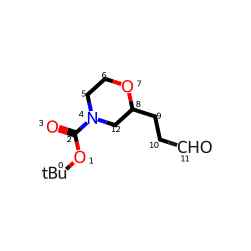 CC(C)(C)OC(=O)N1CCOC(CCC=O)C1